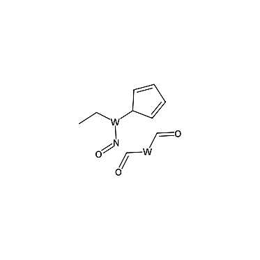 C[CH2][W]([N]=O)[CH]1C=CC=C1.O=[CH][W][CH]=O